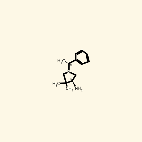 C[C@H](c1ccccc1)N1C[C@@H](N)C(C)(C)C1